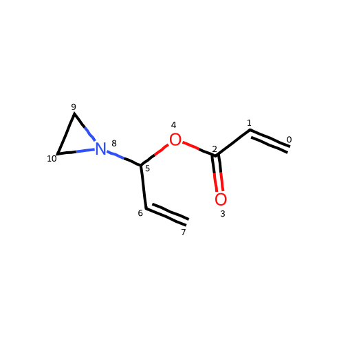 C=CC(=O)OC(C=C)N1CC1